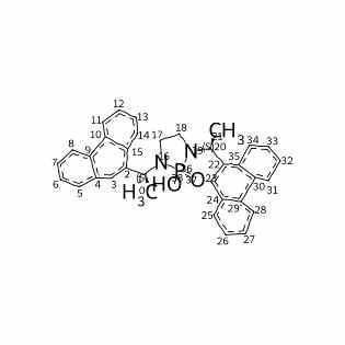 C[C@@H](c1cc2ccccc2c2ccccc12)N1CCN([C@@H](C)c2cc3ccccc3c3ccccc23)P1(=O)O